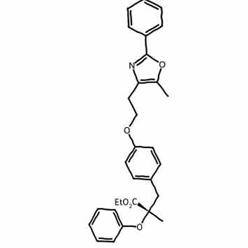 CCOC(=O)[C@](C)(Cc1ccc(OCCc2nc(-c3ccccc3)oc2C)cc1)Oc1ccccc1